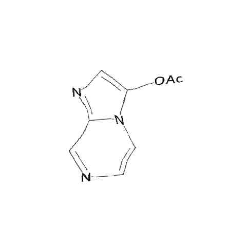 CC(=O)Oc1cnc2cnccn12